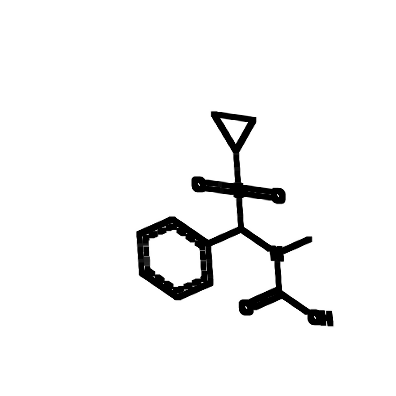 CN(C(=O)O)C(c1ccccc1)S(=O)(=O)C1CC1